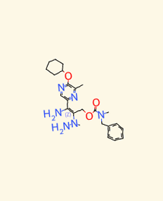 Cc1nc(/C(N)=C(\COC(=O)N(C)Cc2ccccc2)N(C)N)cnc1OC1CCCCC1